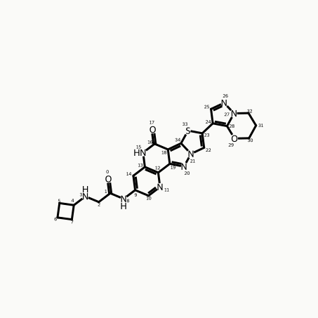 O=C(CNC1CCC1)Nc1cnc2c(c1)[nH]c(=O)c1c2nn2cc(-c3cnn4c3OCCC4)sc12